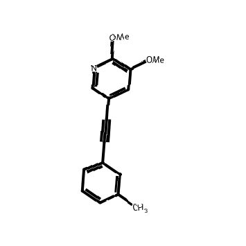 COc1cc(C#Cc2cccc(C)c2)cnc1OC